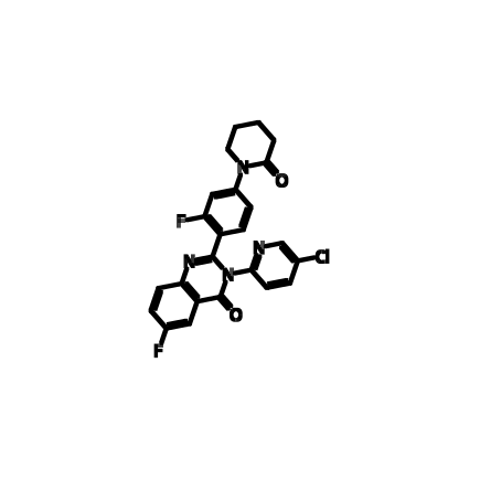 O=C1CCCCN1c1ccc(-c2nc3ccc(F)cc3c(=O)n2-c2ccc(Cl)cn2)c(F)c1